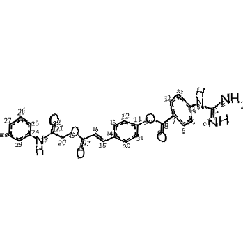 N=C(N)Nc1ccc(C(=O)Oc2ccc(/C=C/C(=O)OCC(=O)Nc3ccccc3)cc2)cc1